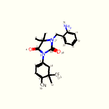 CC1(C)C(=O)N(C2=CC=C(C#N)C(C)(C(F)(F)F)C2)C(=O)N1Cc1ccccc1N